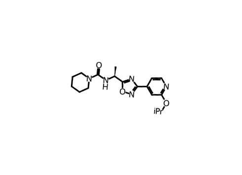 CC(C)Oc1cc(-c2noc([C@H](C)NC(=O)N3CCCCC3)n2)ccn1